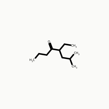 CCCC(=O)C(CC)CC(C)C